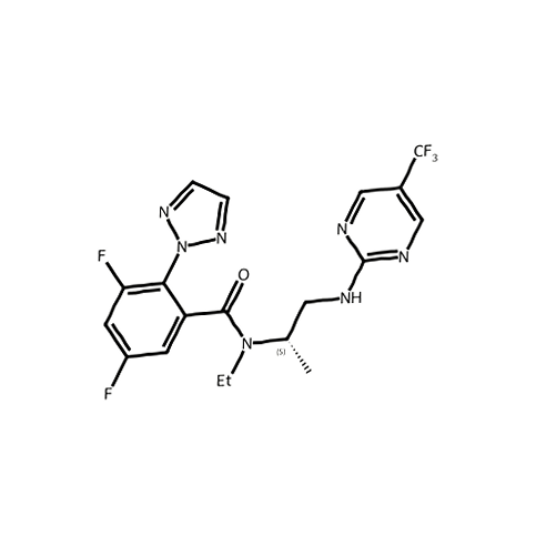 CCN(C(=O)c1cc(F)cc(F)c1-n1nccn1)[C@@H](C)CNc1ncc(C(F)(F)F)cn1